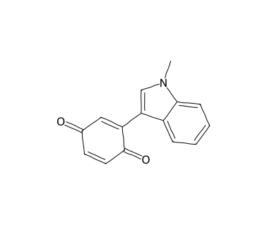 Cn1cc(C2=CC(=O)C=CC2=O)c2ccccc21